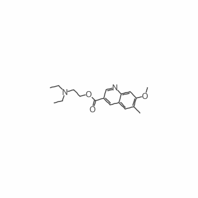 CCN(CC)CCOC(=O)c1cnc2cc(OC)c(C)cc2c1